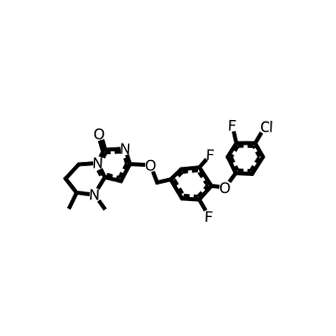 CC1CCn2c(cc(OCc3cc(F)c(Oc4ccc(Cl)c(F)c4)c(F)c3)nc2=O)N1C